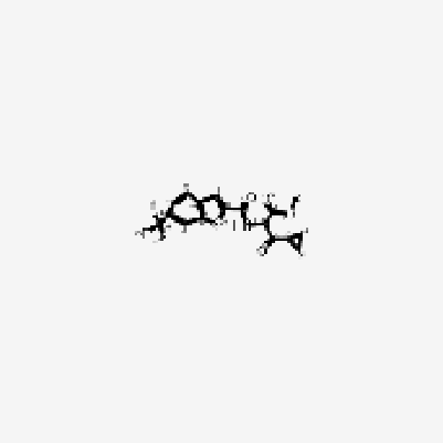 COC(=O)C(NC(=O)c1cc2ccc(C(F)(F)F)cc2s1)C(=O)C1CC1